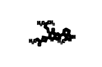 C=CC(=O)N1CC(c2nc3ccc(-c4cccc5[nH]nc(C)c45)cc3c(=O)n2CCCN(C)C)C1